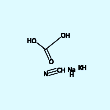 C#N.O=C(O)O.[KH].[NaH]